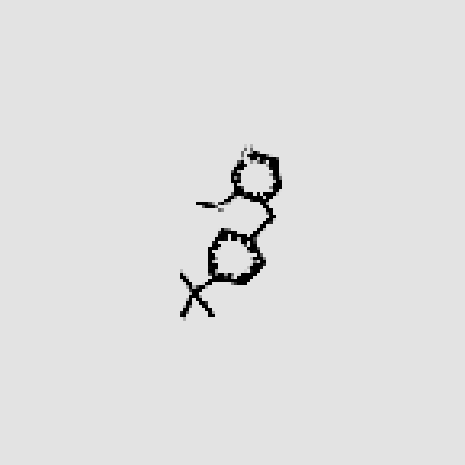 COc1cnccc1Cc1ccc(C(C)(C)C)cc1